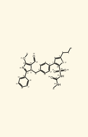 CCCc1cc(-c2ccc(Cn3c(-c4ccccc4)nc(OC)c3C=O)cc2)c(S(=O)(=O)NC(=O)NC)s1